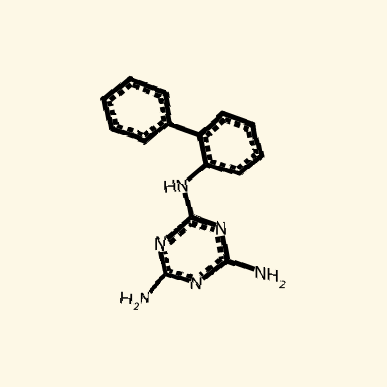 Nc1nc(N)nc(Nc2ccccc2-c2ccccc2)n1